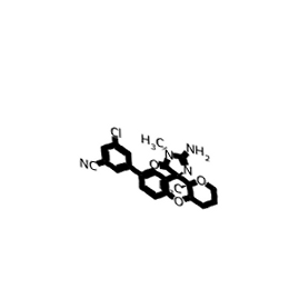 CN1C(=O)[C@]2(N=C1N)c1cc(-c3cc(Cl)cc(C#N)c3)ccc1OC1CCCO[C@@]12C